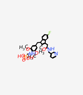 COc1cc(CC2C(C)=C(CC(=O)NCc3cccnc3)c3cc(F)ccc32)cc(OC)c1NCP(=O)(O)O